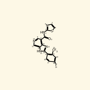 O=C(Nc1nccs1)c1cncc2[nH]c(-c3ccc(F)cc3C(F)(F)F)nc12